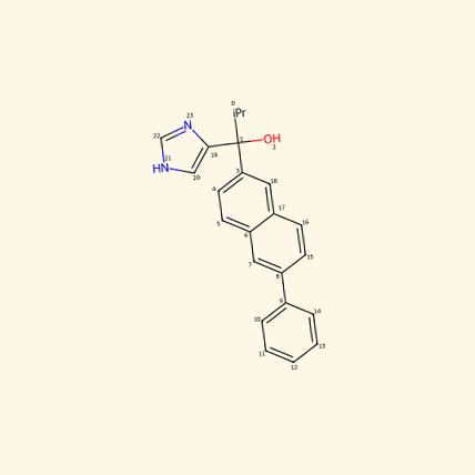 CC(C)C(O)(c1ccc2cc(-c3ccccc3)ccc2c1)c1c[nH]cn1